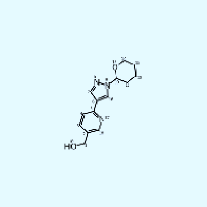 OCc1ccc(-c2cnn(C3CCCCO3)c2)nc1